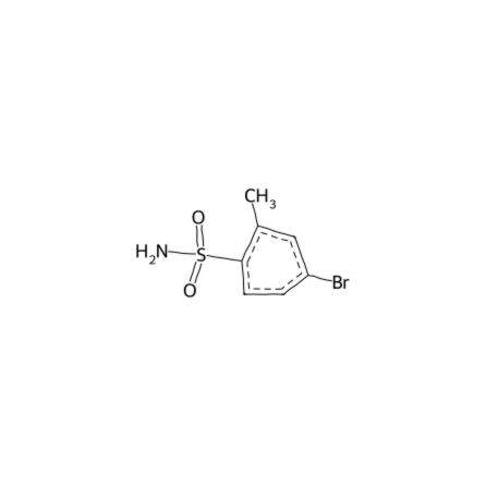 Cc1cc(Br)ccc1S(N)(=O)=O